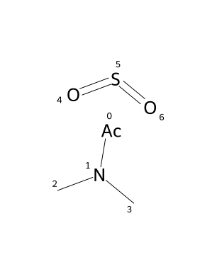 CC(=O)N(C)C.O=S=O